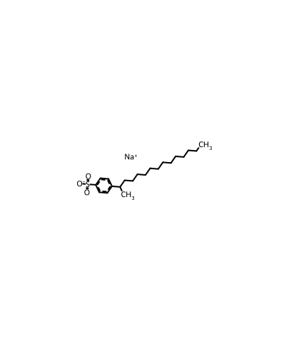 CCCCCCCCCCCCCC(C)c1ccc(S(=O)(=O)[O-])cc1.[Na+]